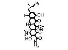 CC(C)CN(C)Cc1cc(O)c2c(c1F)C[C@H]1C[C@H]3[C@H](N(C)C)C(O)=C(C(N)=O)C(=O)[C@@]3(O)C(O)=C1C2=O